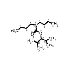 CCCCN(CCCC)C(=O)OC(C(C)C)C(C)C